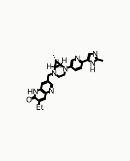 CCc1cc2ncc(CN3CCN(c4ccc(-c5cnc(C)[nH]5)nc4)[C@H]4[C@@H](C)[C@H]43)cc2[nH]c1=O